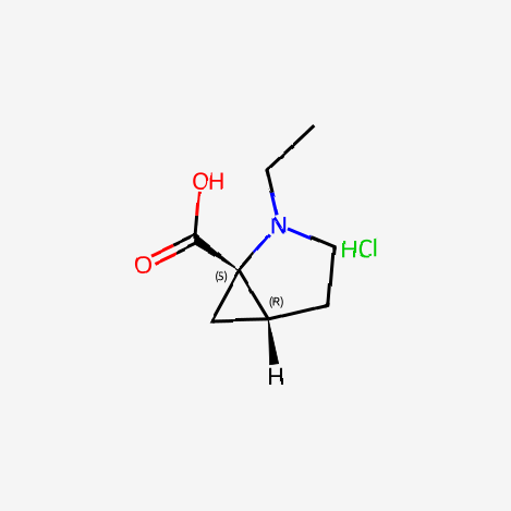 CCN1CC[C@@H]2C[C@@]21C(=O)O.Cl